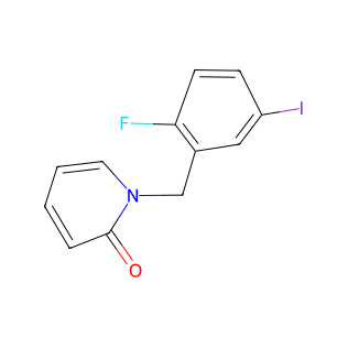 O=c1ccccn1Cc1cc(I)ccc1F